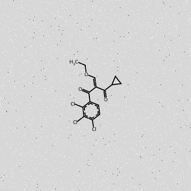 CCO/C=C(\C(=O)c1ccc(Cl)c(Cl)c1Cl)C(=O)C1CC1